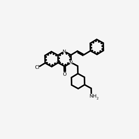 NCC1CCCC(Cn2c(/C=C/c3ccccc3)nc3ccc(Cl)cc3c2=O)C1